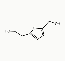 OCCc1ccc(CO)o1